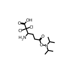 CC(C)N(OC(=O)CCC(N)C(Cl)(Cl)C(=O)O)C(C)C